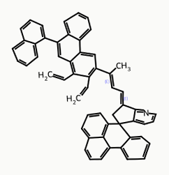 C=Cc1c(/C(C)=C/C=C2\CC3(c4ccccc4-c4cccc5cccc3c45)c3cccnc32)cc2c(cc(-c3cccc4ccccc34)c3ccccc32)c1C=C